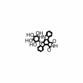 O=C1NC(=O)c2c1c1c3ccccc3[nH]c1c1c2c2ccccc2n1[C@H]1C[C@@H](O)[C@@H](O)[C@H](O)[C@@H]1O